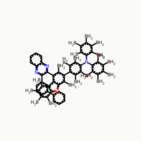 Bc1c(B)c(B)c(N(c2c(B)c(B)c(B)c(B)c2B)c2c(B)c(B)c(-c3c(B)c(-c4nc5ccccc5nc4-c4cccc(-c5ccccc5)c4)c4c(oc5c(B)c(B)c(B)c(B)c54)c3B)c(B)c2B)c(B)c1B